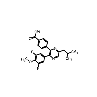 COc1c(F)cc(-c2ncc(CC(C)C)nc2-c2ccc(C(=O)O)cc2)cc1F